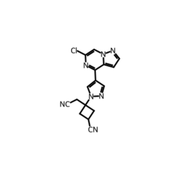 N#CCC1(n2cc(-c3nc(Cl)cn4nccc34)cn2)CC(C#N)C1